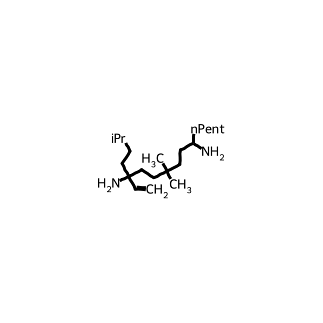 C=CC(N)(CCC(C)C)CCC(C)(C)CCC(N)CCCCC